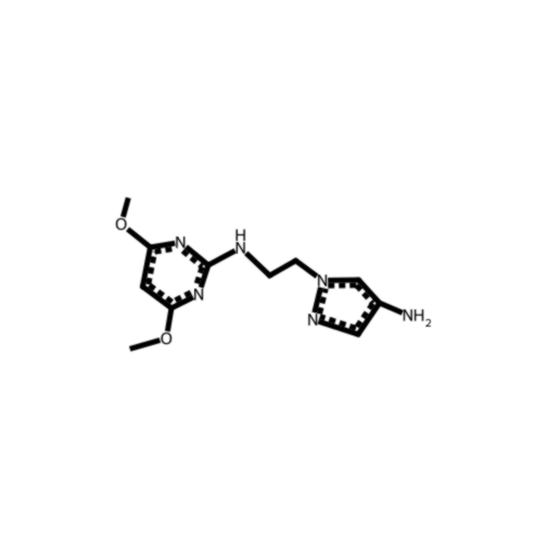 COc1cc(OC)nc(NCCn2cc(N)cn2)n1